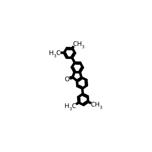 Cc1cc(C)cc(-c2ccc3c(c2)C(=O)c2cc(-c4cc(C)cc(C)c4)ccc2-3)c1